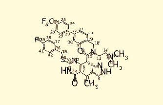 CC(c1cn[nH]c1)c1c(CC(=O)N(CCN(C)C)Cc2ccc(-c3ccc(C(F)(F)F)cc3)cc2)nc(SCc2ccc(F)cc2)[nH]c1=O